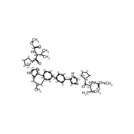 COC(=O)N[C@H](C(=O)N1CCC[C@H]1c1ncc(-c2ccc(-c3ccc4c(c3)CN(C)Cc3[nH]c([C@@H]5CCCN5C(=O)[C@@H](NC(=O)OC)C(C)C)nc3-4)cc2)[nH]1)C(C)C